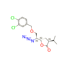 CC(C)[C@@H]1C[C@@H]([C@H](COCc2ccc(Cl)c(Cl)c2)N=[N+]=[N-])OC1=O